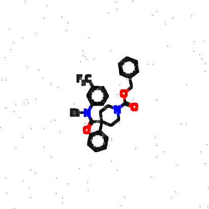 CCN(C(=O)C1(c2ccccc2)CCN(C(=O)OCc2ccccc2)CC1)c1cccc(C(F)(F)F)c1